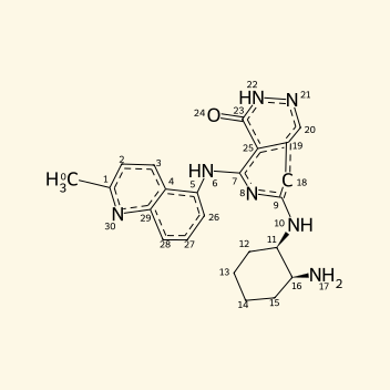 Cc1ccc2c(Nc3nc(N[C@@H]4CCCC[C@@H]4N)cc4cn[nH]c(=O)c34)cccc2n1